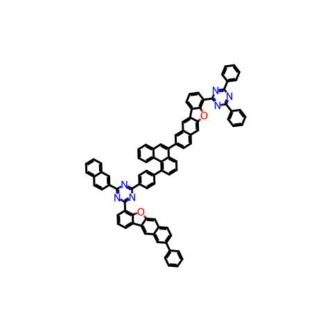 c1ccc(-c2ccc3cc4oc5c(-c6nc(-c7ccc(-c8cccc9c(-c%10ccc%11cc%12oc%13c(-c%14nc(-c%15ccccc%15)nc(-c%15ccccc%15)n%14)cccc%13c%12cc%11c%10)cc%10ccccc%10c89)cc7)nc(-c7ccc8ccccc8c7)n6)cccc5c4cc3c2)cc1